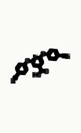 N#Cc1ccc(Oc2cc(C(=O)O)cc(Oc3ccc(C#N)cc3)n2)cc1